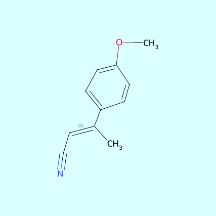 COc1ccc(/C(C)=C/C#N)cc1